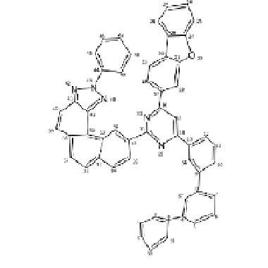 c1ccc(-c2cccc(-c3cccc(-c4cc(-c5ccc6c(c5)oc5ccccc56)nc(-c5ccc6ccc7ccc8nn(-c9ccccc9)nc8c7c6c5)n4)c3)c2)cc1